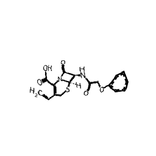 C=CC1=C(C(=O)O)N2C(=O)[C@@H](NC(=O)COc3ccccc3)[C@H]2SC1